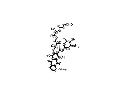 COc1cccc2c1C(=O)c1c(O)c3c(c(O)c1C2=O)C[C@@](O)(C(=O)COC(=O)[C@H](NC(=O)CCC=O)C(C)C)C[C@@H]3OC1CC(N)C(O)C(C)O1